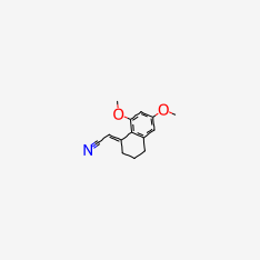 COc1cc2c(c(OC)c1)C(=CC#N)CCC2